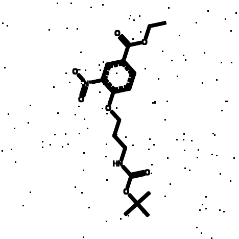 CCOC(=O)c1ccc(OCCCNC(=O)OC(C)(C)C)c([N+](=O)[O-])c1